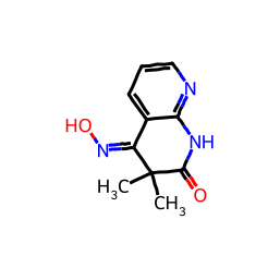 CC1(C)C(=O)Nc2ncccc2C1=NO